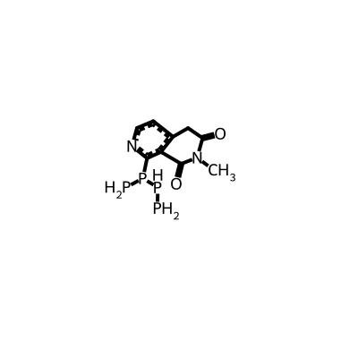 CN1C(=O)Cc2ccnc(P(P)PP)c2C1=O